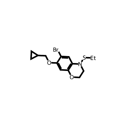 CCSN1CCOc2cc(OCC3CC3)c(Br)cc21